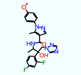 COc1ccc(-n2ncc(C(=O)NC(C)C(O)(Cn3cncn3)c3ccc(F)cc3F)c2C)cc1